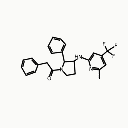 Cc1cc(C(F)(F)F)cc(NC2CCN(C(=O)Cc3ccccc3)C2c2ccccc2)n1